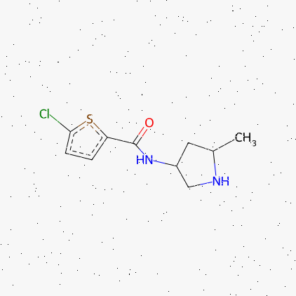 CC1CC(NC(=O)c2ccc(Cl)s2)CN1